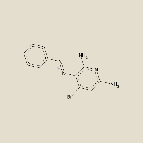 Nc1cc(Br)c(/N=N/c2ccccc2)c(N)n1